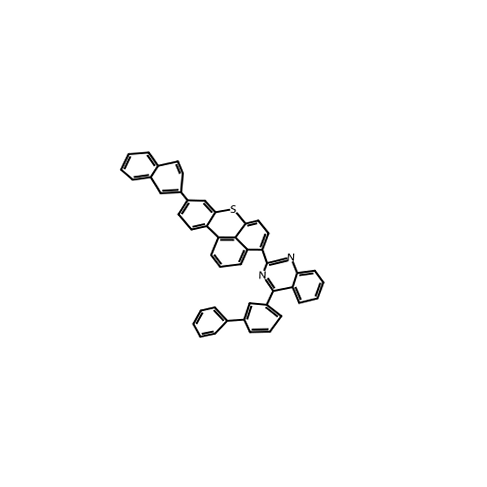 c1ccc(-c2cccc(-c3nc(-c4ccc5c6c(cccc46)-c4ccc(-c6ccc7ccccc7c6)cc4S5)nc4ccccc34)c2)cc1